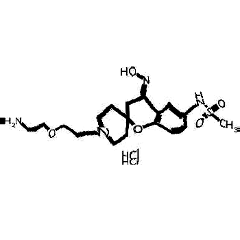 CS(=O)(=O)Nc1ccc2c(c1)C(=NO)CC1(CCN(CCOCCN)CC1)O2.Cl.Cl